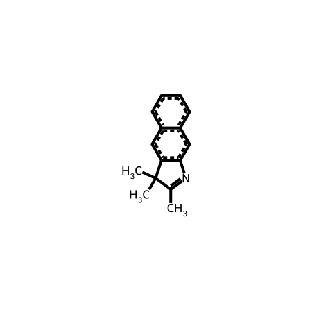 CC1=Nc2cc3ccccc3cc2C1(C)C